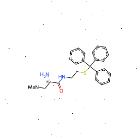 CNC[C@H](N)C(=O)NCCSC(c1ccccc1)(c1ccccc1)c1ccccc1